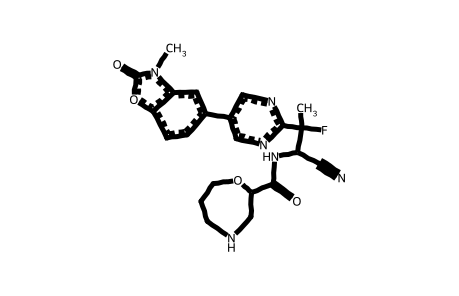 Cn1c(=O)oc2ccc(-c3cnc(C(C)(F)C(C#N)NC(=O)C4CNCCCO4)nc3)cc21